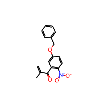 C=C(C)C(=O)c1cc(OCc2ccccc2)ccc1[N+](=O)[O-]